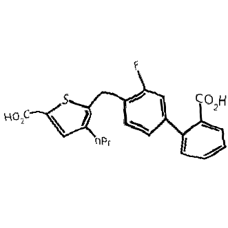 CCCc1cc(C(=O)O)sc1Cc1ccc(-c2ccccc2C(=O)O)cc1F